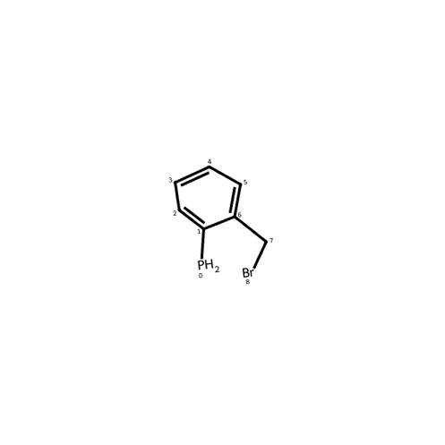 Pc1ccccc1CBr